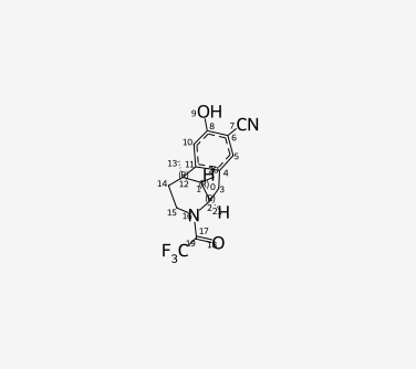 C[C@H]1[C@H]2Cc3cc(C#N)c(O)cc3[C@]1(C)CCN2C(=O)C(F)(F)F